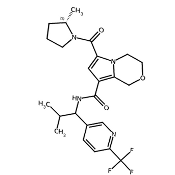 CC(C)C(NC(=O)c1cc(C(=O)N2CCC[C@@H]2C)n2c1COCC2)c1ccc(C(F)(F)F)nc1